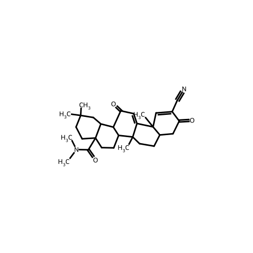 CN(C)C(=O)C12CCC3C(C(=O)C=C4C5(C)C=C(C#N)C(=O)CC5CCC43C)C1CC(C)(C)CC2